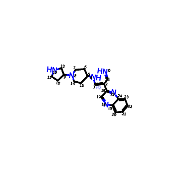 N=C/C(=C\NC1CCN(C2CCNC2)CC1)c1cnc2ccccc2n1